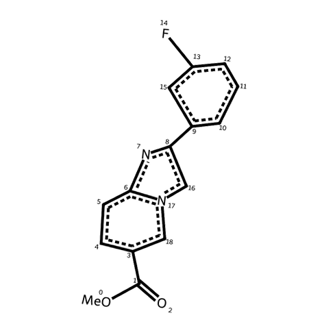 COC(=O)c1ccc2nc(-c3cccc(F)c3)cn2c1